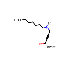 CCCCC[C@H](O)C#CCN(CCCCCCC(=O)O)C(C)=O